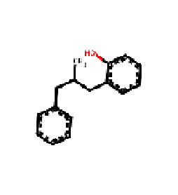 CC(Cc1ccccc1)Cc1ccccc1O